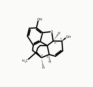 CC1CCC23c4c5ccc(O)c4O[C@H]2[C@@H](O)C=C[C@H]3[C@H]1C5